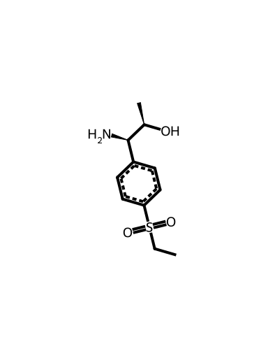 CCS(=O)(=O)c1ccc([C@@H](N)[C@@H](C)O)cc1